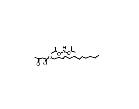 CC(C)[O][AlH][O]C(C)C.CCCCCCCCCCCCOC(=O)CC(C)=O